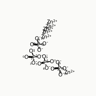 O=P([O-])([O-])[O-].O=P([O-])([O-])[O-].O=P([O-])([O-])[O-].O=P([O-])([O-])[O-].[Zn+2].[Zn+2].[Zn+2].[Zn+2].[Zn+2].[Zn+2]